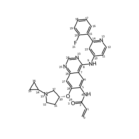 C=CC(=O)Nc1cc2c(Nc3ccnc(-c4ccccc4F)c3)ncnc2cc1O[C@@H]1CCN(C2CC2)C1